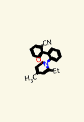 CCc1cc(C)cc(=O)n1-c1ccccc1-c1ccccc1C#N